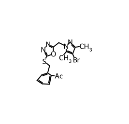 CC(=O)c1ccccc1CSc1nnc(Cn2nc(C)c(Br)c2C)o1